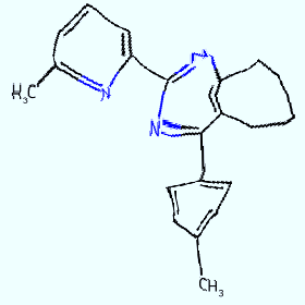 Cc1ccc(-c2nc(-c3cccc(C)n3)nc3c2CCCC3)cc1